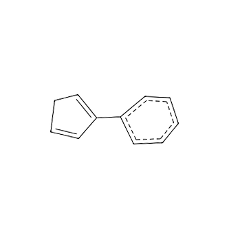 C1=CC(c2ccccc2)=CC1